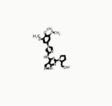 COc1cc(-n2cnc(Nc3nc(N4CCCC4CO)nc4[nH]ncc34)c2)cc(OC)c1OC